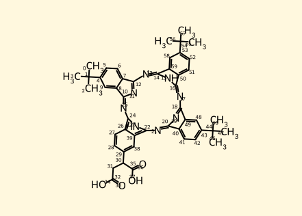 CC(C)(C)c1ccc2c(c1)-c1nc-2nc2[nH]c(nc3nc(nc4[nH]c(n1)c1ccc(C(CC(=O)O)C(=O)O)cc41)-c1ccc(C(C)(C)C)cc1-3)c1ccc(C(C)(C)C)cc21